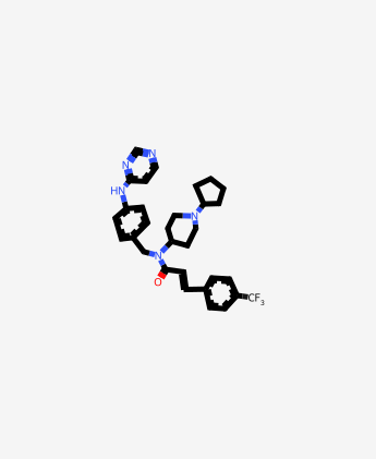 O=C(C=Cc1ccc(C(F)(F)F)cc1)N(Cc1ccc(Nc2ccncn2)cc1)C1CCN(C2CCCC2)CC1